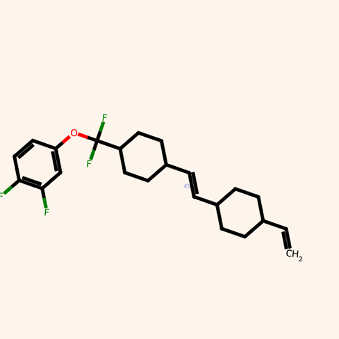 C=CC1CCC(/C=C/C2CCC(C(F)(F)Oc3ccc(F)c(F)c3)CC2)CC1